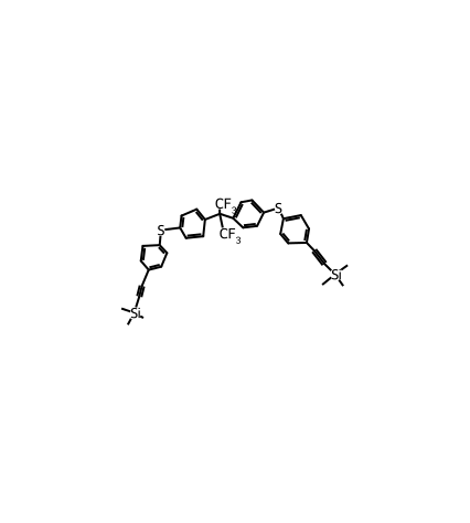 C[Si](C)(C)C#Cc1ccc(Sc2ccc(C(c3ccc(Sc4ccc(C#C[Si](C)(C)C)cc4)cc3)(C(F)(F)F)C(F)(F)F)cc2)cc1